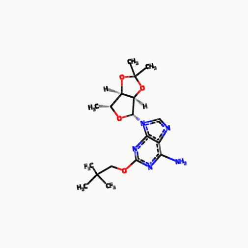 C[C@H]1O[C@@H](n2cnc3c(N)nc(OCC(C)(C(F)(F)F)C(F)(F)F)nc32)[C@@H]2OC(C)(C)O[C@@H]21